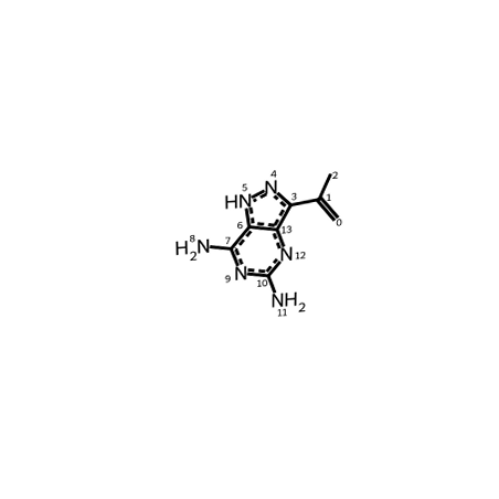 C=C(C)c1n[nH]c2c(N)nc(N)nc12